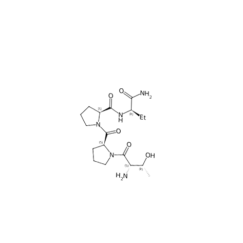 CC[C@@H](NC(=O)[C@@H]1CCCN1C(=O)[C@@H]1CCCN1C(=O)[C@@H](N)[C@@H](C)O)C(N)=O